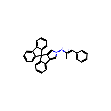 C/C(=C\c1ccccc1)Nn1cc2c(c1)C1(c3ccccc3-c3ccccc31)c1ccccc1-2